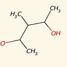 CC(O)C(C)C(C)O